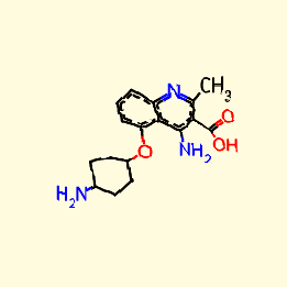 Cc1nc2cccc(OC3CCC(N)CC3)c2c(N)c1C(=O)O